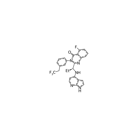 CC[C@H](Nc1ccnc2[nH]ccc12)c1nc2cccc(F)c2c(=O)n1-c1cccc(CC(F)(F)F)c1